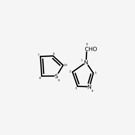 O=Cn1ccnc1.c1ccsc1